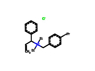 C=CC(c1ccccc1)[N+](CC)(CC)Cc1ccc(C(C)C)cc1.[Cl-]